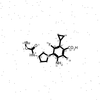 CC(C)(C)OC(=O)N[C@H]1CCN(c2c(N)c(F)c(C(=O)O)c(C3CC3)c2F)C1